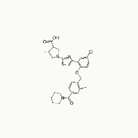 Cc1cc(C(=O)N2CCCCC2)ccc1COc1ccc(Cl)cc1-c1csc(N2CC(C)C(C(=O)O)C2)n1